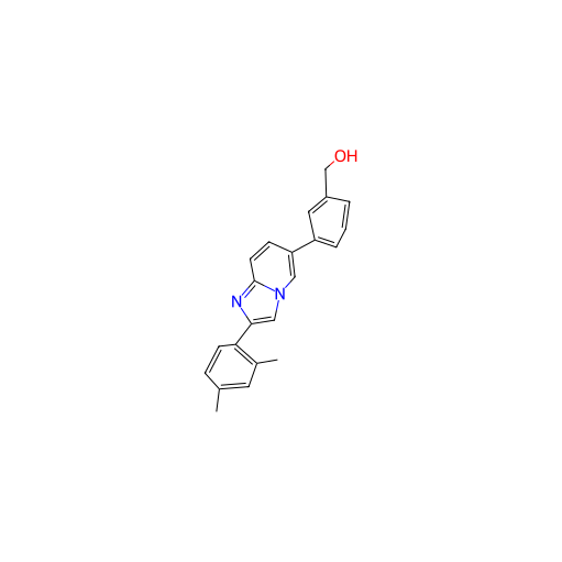 Cc1ccc(-c2cn3cc(-c4cccc(CO)c4)ccc3n2)c(C)c1